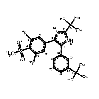 CS(=O)(=O)c1c(F)cc(-c2nc(C(F)(F)F)[nH]c2-c2cccc(C(F)(F)F)c2)cc1F